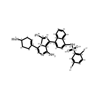 CNC1CC=C(c2cnc(N)c3c(-c4ccc(NS(=O)(=O)c5cc(F)ccc5F)c5ccccc45)nc(C(C)C)n23)CC1